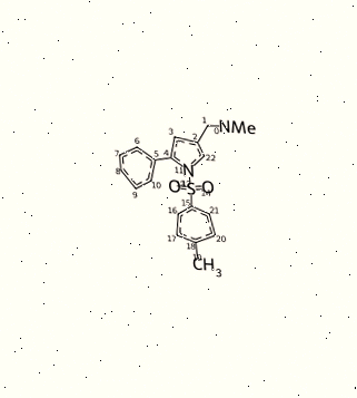 CNCc1cc(-c2ccccc2)n(S(=O)(=O)c2ccc(C)cc2)c1